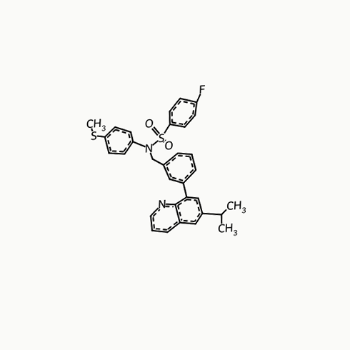 CSc1ccc(N(Cc2cccc(-c3cc(C(C)C)cc4cccnc34)c2)S(=O)(=O)c2ccc(F)cc2)cc1